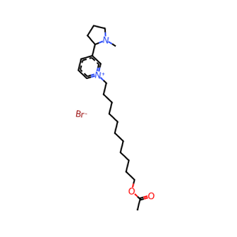 CC(=O)OCCCCCCCCCCC[n+]1cccc(C2CCCN2C)c1.[Br-]